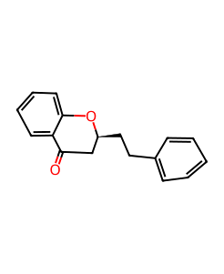 O=C1C[C@H](CCc2ccccc2)Oc2ccccc21